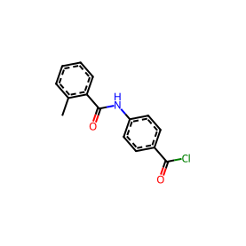 Cc1ccccc1C(=O)Nc1ccc(C(=O)Cl)cc1